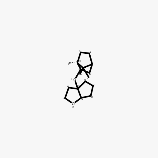 CC1(C)C2CC[C@]1(C)C(OC13CCCC1OCC3)C2